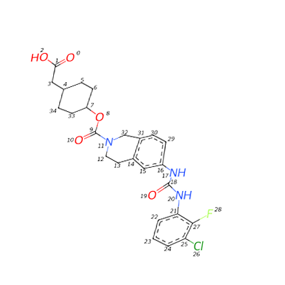 O=C(O)CC1CCC(OC(=O)N2CCc3cc(NC(=O)Nc4cccc(Cl)c4F)ccc3C2)CC1